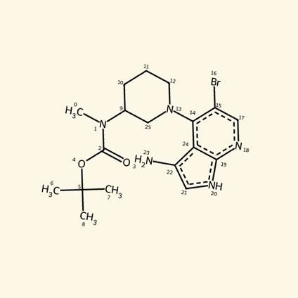 CN(C(=O)OC(C)(C)C)C1CCCN(c2c(Br)cnc3[nH]cc(N)c23)C1